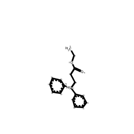 CCOC(=O)CC[SiH](c1ccccc1)c1ccccc1